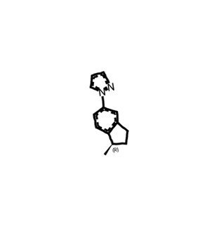 C[C@@H]1CCc2cc(-n3cccn3)ccc21